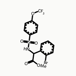 COC(=O)C(NS(=O)(=O)c1ccc(OC(F)(F)F)cc1)c1ccccc1Br